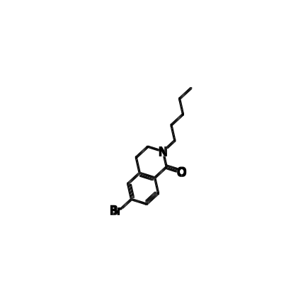 CCCCCN1CCc2cc(Br)ccc2C1=O